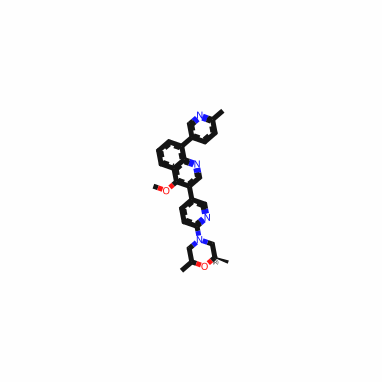 COc1c(-c2ccc(N3CC(C)O[C@H](C)C3)nc2)cnc2c(-c3ccc(C)nc3)cccc12